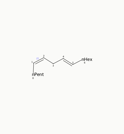 CCCCC/C=C\CC=CCCCCCC